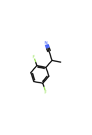 CC(C#N)c1cc(F)ccc1F